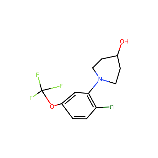 OC1CCN(c2cc(OC(F)(F)F)ccc2Cl)CC1